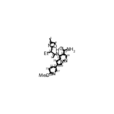 CCC(c1nc(C)co1)C(C)Nc1c(C(N)=O)cnn2cc(-c3ccc(OC)nc3)cc12